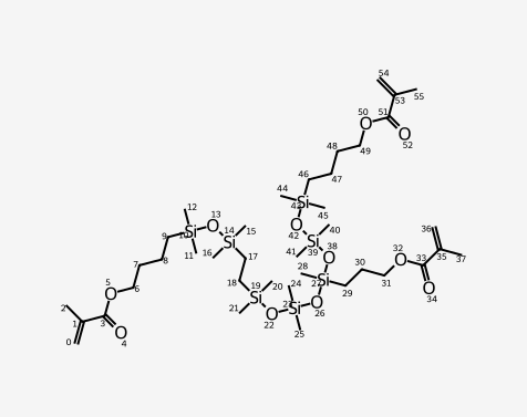 C=C(C)C(=O)OCCCC[Si](C)(C)O[Si](C)(C)CC[Si](C)(C)O[Si](C)(C)O[Si](C)(CCCOC(=O)C(=C)C)O[Si](C)(C)O[Si](C)(C)CCCCOC(=O)C(=C)C